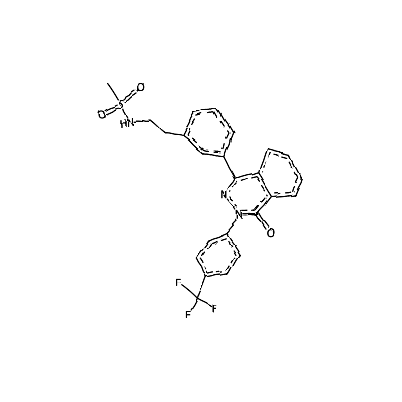 CS(=O)(=O)NCCc1cccc(-c2nn(-c3ccc(C(F)(F)F)cc3)c(=O)c3ccccc23)c1